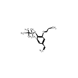 C=Cc1ccc(O[Si](C)(C)C(C)(C)C)c(OCCC)c1